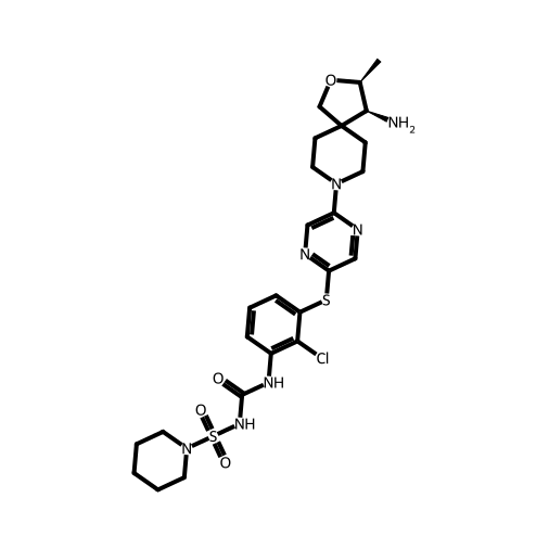 C[C@@H]1OCC2(CCN(c3cnc(Sc4cccc(NC(=O)NS(=O)(=O)N5CCCCC5)c4Cl)cn3)CC2)[C@@H]1N